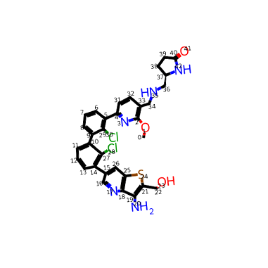 COc1nc(-c2cccc(-c3cccc(-c4cnc5c(N)c(CO)sc5c4)c3Cl)c2Cl)ccc1CNC[C@H]1CCC(=O)N1